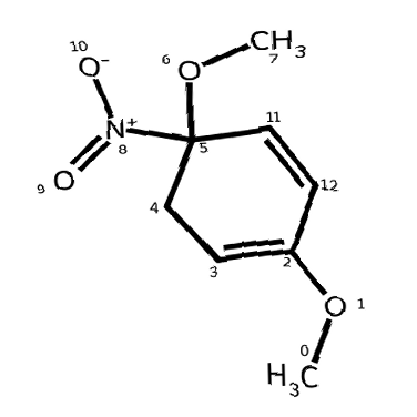 COC1=CCC(OC)([N+](=O)[O-])C=C1